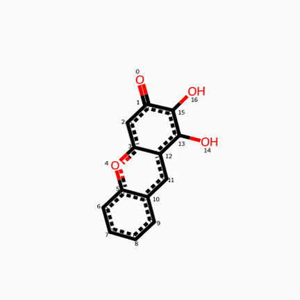 O=c1cc2oc3ccccc3cc-2c(O)c1O